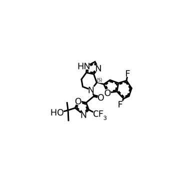 CC(C)(O)c1nc(C(F)(F)F)c(C(=O)N2CCc3[nH]cnc3[C@H]2c2cc3c(F)ccc(F)c3o2)o1